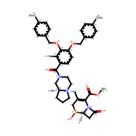 BOC(=O)C1=C(C[N@+]23CCC[C@H]2CN(C(=O)c2ccc(OCc4ccc(OC)cc4)c(OCc4ccc(OC)cc4)c2F)CC3)C[S+]([O-])[C@@H]2CC(=O)N12